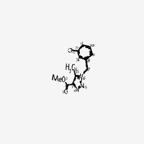 COC(=O)c1nnn(Cc2cccc(Cl)c2)c1C